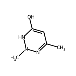 CC1=NN(C)NC(O)=C1